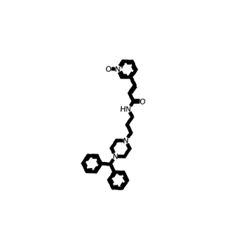 O=C(C=Cc1ccc[n+]([O-])c1)NCCCN1CCN(C(c2ccccc2)c2ccccc2)CC1